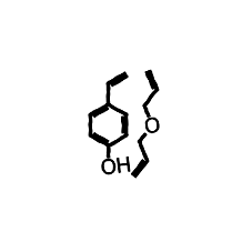 C=CCOCC=C.C=Cc1ccc(O)cc1